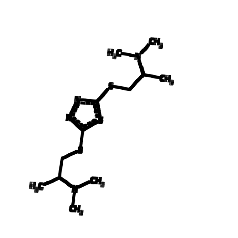 CC(CSc1nnc(SCC(C)N(C)C)s1)N(C)C